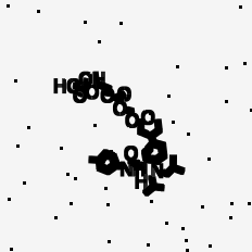 CCC(CC(=O)OCOC(=O)OC[C@H](C)OP(=O)(O)O)c1ccc(N(CC(C)C)CC(C)C)c(NC(=O)Nc2ccc(C)cc2)c1